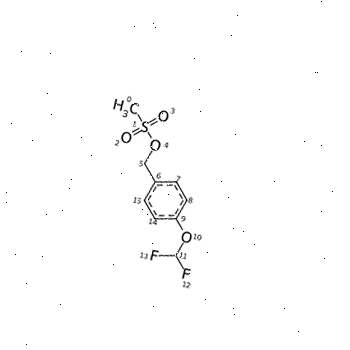 CS(=O)(=O)OCc1ccc(OC(F)F)cc1